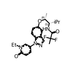 CCn1cc(-n2ncc3cc(O[C@H](C)[C@@H](NC(=O)C(C)(F)F)C(C)C)ccc32)ccc1=O